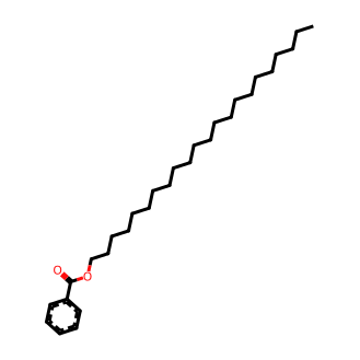 CCCCCCCCCCCCCCCCCCCCCCOC(=O)c1ccccc1